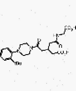 CC(C)(C)c1ccccc1N1CCN(C(=O)CC(CC(=O)O)CC(=O)NCC(=O)O)CC1